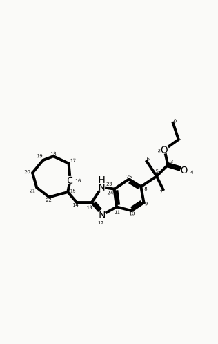 CCOC(=O)C(C)(C)c1ccc2nc(CC3CCCCCCC3)[nH]c2c1